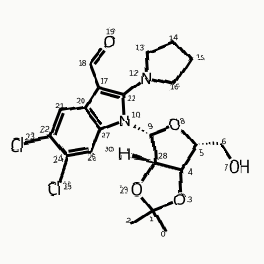 CC1(C)OC2[C@@H](CO)O[C@@H](n3c(N4CCCC4)c(C=O)c4cc(Cl)c(Cl)cc43)[C@H]2O1